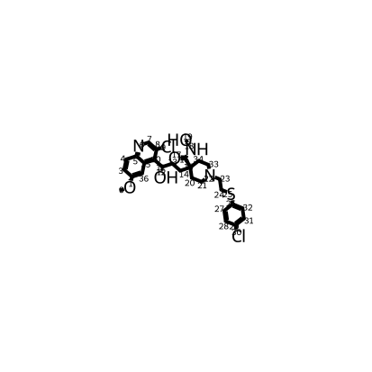 COc1ccc2ncc(Cl)c([C@H](O)CCC3(C(=O)NO)CCN(CCSc4ccc(Cl)cc4)CC3)c2c1